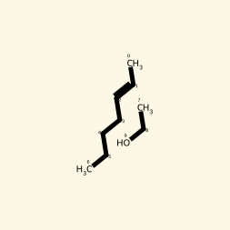 CC=CCCCC.CCO